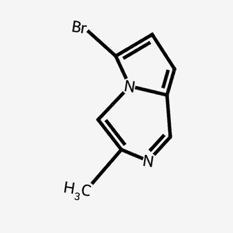 Cc1cn2c(Br)ccc2cn1